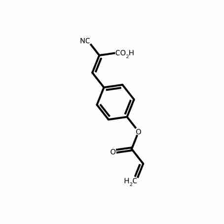 C=CC(=O)Oc1ccc(C=C(C#N)C(=O)O)cc1